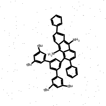 CC(C)(C)c1cc(-c2cc(-c3cc(C(C)(C)C)cc(C(C)(C)C)c3)cc(-c3c(-c4ccccc4)ccc4c(N)c5cc(-c6ccccc6)ccc5c(N)c34)c2)cc(C(C)(C)C)c1